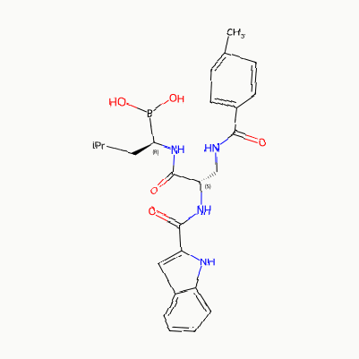 Cc1ccc(C(=O)NC[C@H](NC(=O)c2cc3ccccc3[nH]2)C(=O)N[C@@H](CC(C)C)B(O)O)cc1